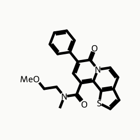 COCCN(C)C(=O)c1cc(-c2ccccc2)c(=O)n2ccc3ccsc3c12